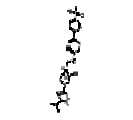 CC(C)c1noc(N2CC3[C@@H](COc4cnc(-c5ccc(S(C)(=O)=O)cc5)cn4)[C@@H]3C2)n1